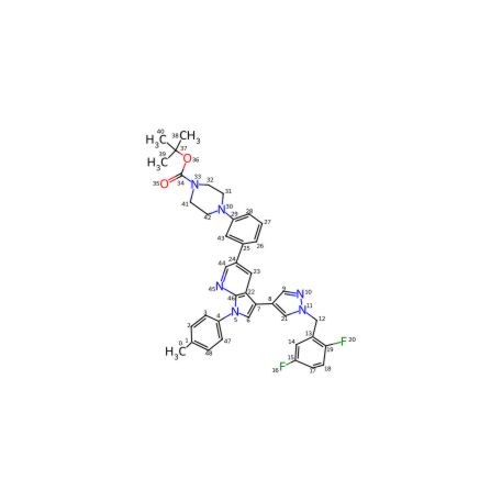 Cc1ccc(-n2cc(-c3cnn(Cc4cc(F)ccc4F)c3)c3cc(-c4cccc(N5CCN(C(=O)OC(C)(C)C)CC5)c4)cnc32)cc1